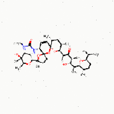 CCCCCCCNC(=O)N[C@@H]1C=C[C@]2(O[C@H](C(CC)C(=O)[C@@H](C)[C@@H](O)[C@H](C)[C@@H]3O[C@@H]([C@@H](CC)C(=O)O)CC[C@@H]3C)[C@@H](C)C[C@H]2C)O[C@@]12CC[C@@](C)([C@H]1CC[C@](O)(CC)[C@H](C)O1)O2